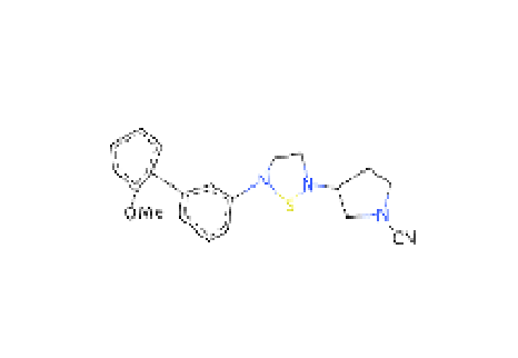 COc1ccccc1-c1cccc(N2CCN(C3CCN(C#N)C3)S2)c1